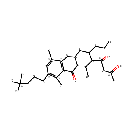 CCCC(CC1CC(=O)c2c(C)c(CCCC(C)(C)C)cc(C)c2C1)C(CC)C(=O)CC(C)=O